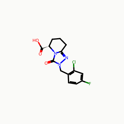 O=C(O)[C@@H]1CCCc2nn(Cc3ccc(F)cc3Cl)c(=O)n21